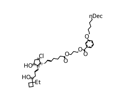 CCCCCCCCCCCCCCCOc1cccc(C(=O)OCCCOC(=O)CCCC=CC[C@@H]2[C@@H](C=CC[C@H](O)C3(CC)CCC3)[C@H](O)C[C@H]2Cl)c1